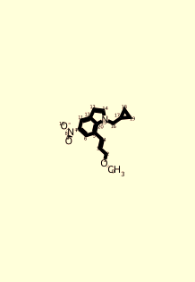 COCC=Cc1cc([N+](=O)[O-])cc2ccn(CC3CC3)c12